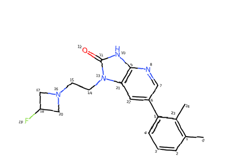 Cc1cccc(-c2cnc3[nH]c(=O)n(CCN4CC(F)C4)c3c2)c1C